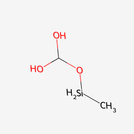 C[SiH2]OC(O)O